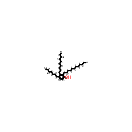 CCCCCCCCCCCCc1c(O)ccc(CCCCCCC)c1CCCCCCCCCC